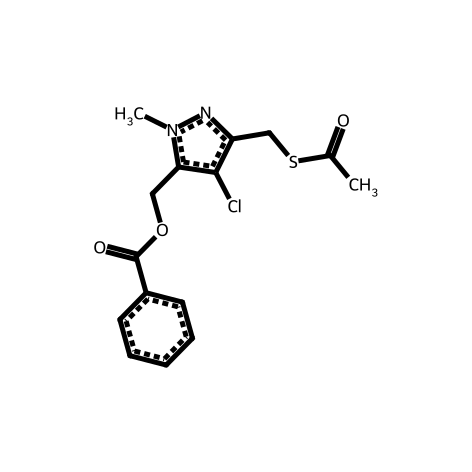 CC(=O)SCc1nn(C)c(COC(=O)c2ccccc2)c1Cl